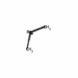 CCCCCCCCCCCCCCCCCC[Si](Br)(Br)CCCCCCCCCCCCCCCCCC